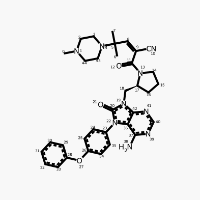 CN1CCN(C(C)(C)/C=C(/C#N)C(=O)N2CCC[C@H]2Cn2c(=O)n(-c3ccc(Oc4ccccc4)cc3)c3c(N)ncnc32)CC1